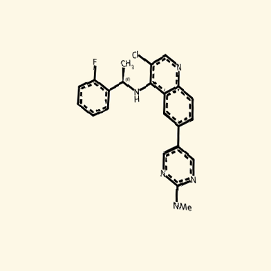 CNc1ncc(-c2ccc3ncc(Cl)c(N[C@H](C)c4ccccc4F)c3c2)cn1